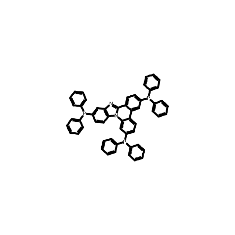 c1ccc(P(c2ccccc2)c2ccc3c(c2)nc2c4ccc(P(c5ccccc5)c5ccccc5)cc4c4ccc(P(c5ccccc5)c5ccccc5)cc4n32)cc1